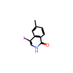 Cc1ccc2c(=O)[nH]cc(I)c2c1